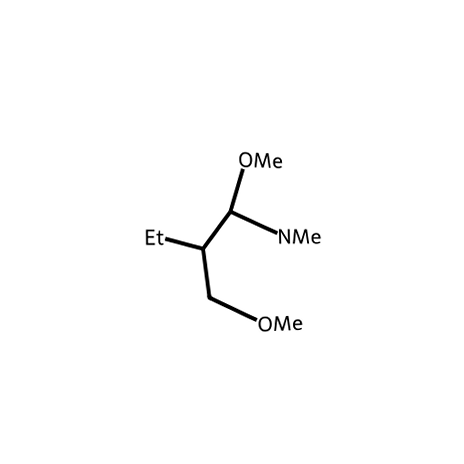 CCC(COC)C(NC)OC